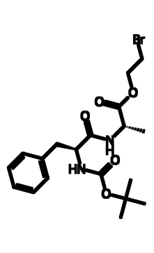 C[C@H](NC(=O)[C@H](Cc1ccccc1)NC(=O)OC(C)(C)C)C(=O)OCCBr